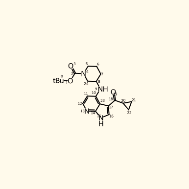 CC(C)(C)OC(=O)N1CCCC(Nc2ccnc3[nH]cc(C(=O)C4CC4)c23)C1